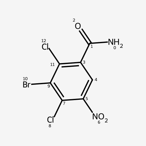 NC(=O)c1cc([N+](=O)[O-])c(Cl)c(Br)c1Cl